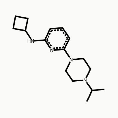 CC(C)N1CCN(c2cccc(NC3CCC3)n2)CC1